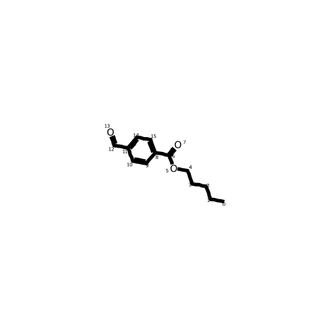 CCCCCOC(=O)c1ccc(C=O)cc1